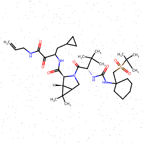 C=CCNC(=O)C(=O)C(CC1CC1)NC(=O)[C@@H]1[C@@H]2C(CN1C(=O)[C@@H](NC(=O)NC1(CS(=O)(=O)C(C)(C)C)CCCCC1)C(C)(C)C)C2(C)C